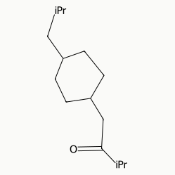 CC(C)CC1CCC(CC(=O)C(C)C)CC1